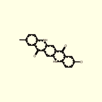 Cc1ccc2[nH]c3cc4c(=O)c5cc(Cl)ccc5[nH]c4cc3c(=O)c2c1